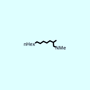 CCCCCCCCCCCC(C)CNC